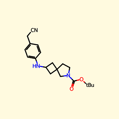 CC(C)(C)OC(=O)N1CCC2(CC(Nc3ccc(CC#N)cc3)C2)C1